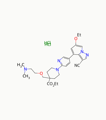 CCOC(=O)C1(COCCN(C)C)CCN(c2ccc(-c3cc(OCC)cn4ncc(C#N)c34)cn2)CC1.Cl.Cl